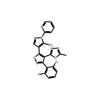 Cc1nnc(-c2c(-c3c(F)cccc3Cl)noc2-c2cnn(-c3ccccn3)c2C(F)(F)F)o1